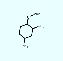 NC1CCC(OC=O)C(N)C1